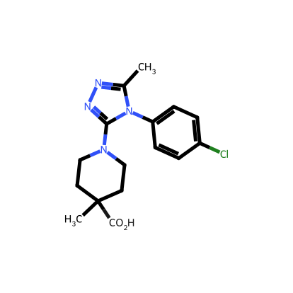 Cc1nnc(N2CCC(C)(C(=O)O)CC2)n1-c1ccc(Cl)cc1